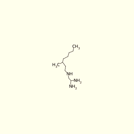 CCCCCC(C)CCNCC(N)N